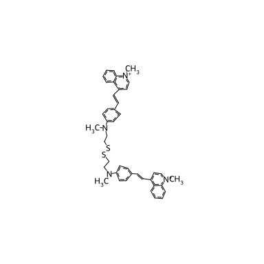 CN(CCSSCCN(C)c1ccc(/C=C/c2cc[n+](C)c3ccccc23)cc1)c1ccc(/C=C/c2cc[n+](C)c3ccccc23)cc1